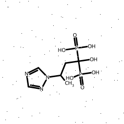 CC(CC(O)(P(=O)(O)O)P(=O)(O)O)n1cncn1